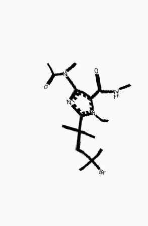 CNC(=O)c1c(N(C)C(C)=O)nc(C(C)(C)CC(C)(C)Br)n1C